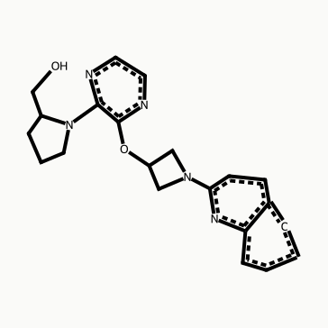 OCC1CCCN1c1nccnc1OC1CN(c2ccc3ccccc3n2)C1